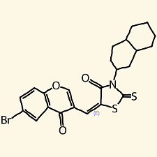 O=C1/C(=C\c2coc3ccc(Br)cc3c2=O)SC(=S)N1C1CCC2CCCCC2C1